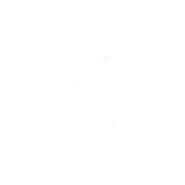 CC(CI)(c1ccc(N)cc1)c1cccc(C(C)(CI)c2ccc(N)cc2)c1